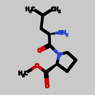 COC(=O)[C@@H]1CCCN1C(=O)[C@@H](N)CC(C)C